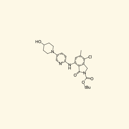 Cc1cc(Nc2ccc(N3CCC(O)CC3)cn2)c2c(c1Cl)CN(C(=O)OC(C)(C)C)C2=O